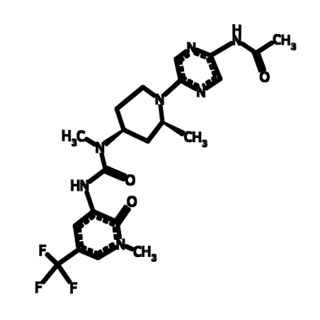 CC(=O)Nc1cnc(N2CC[C@H](N(C)C(=O)Nc3cc(C(F)(F)F)cn(C)c3=O)C[C@@H]2C)cn1